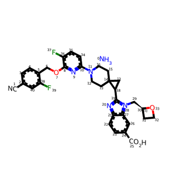 N.N#Cc1ccc(COc2nc(N3CCC4(CC3)CC4c3nc4ccc(C(=O)O)cc4n3C[C@@H]3CCO3)ccc2F)c(F)c1